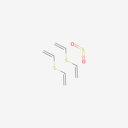 C=CSC=C.C=CSC=C.O=S=O